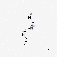 C=C/N=C\N=C/N=C